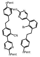 CCCCCc1ccc(CCc2ccc(-c3cnc(CCCCC)nc3)c(C#N)c2)cc1.CCCCCc1ccc(CCc2cccc(-c3cnc(CCCCC)nc3)c2Br)cc1